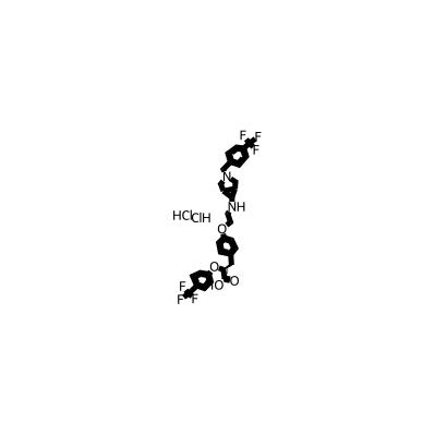 Cl.Cl.O=C(O)[C@H](Cc1ccc(OCCNC2C3CN(Cc4ccc(C(F)(F)F)cc4)CC32)cc1)Oc1ccc(C(F)(F)F)cc1